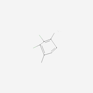 COc1[c]cc(C)c(F)c1F